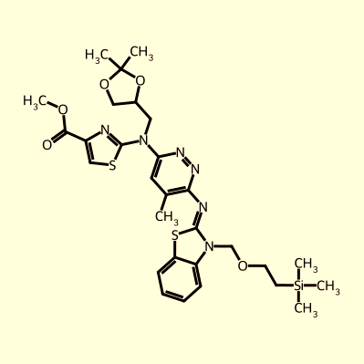 COC(=O)c1csc(N(CC2COC(C)(C)O2)c2cc(C)c(/N=c3\sc4ccccc4n3COCC[Si](C)(C)C)nn2)n1